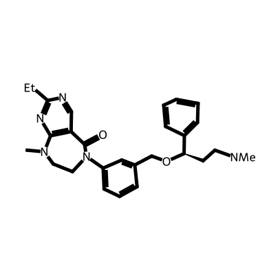 CCc1ncc2c(n1)N(C)CCN(c1cccc(CO[C@H](CCNC)c3ccccc3)c1)C2=O